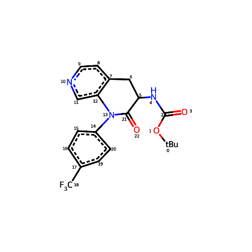 CC(C)(C)OC(=O)NC1Cc2ccncc2N(c2ccc(C(F)(F)F)cc2)C1=O